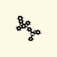 c1ccc(-c2nc(-c3ccc(-n4c5ccccc5c5c6c7cc8ccccc8cc7n7c8ccccc8c(cc54)c67)cc3)c3sc4ccccc4c3n2)cc1